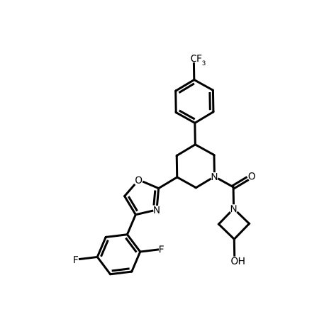 O=C(N1CC(O)C1)N1CC(c2ccc(C(F)(F)F)cc2)CC(c2nc(-c3cc(F)ccc3F)co2)C1